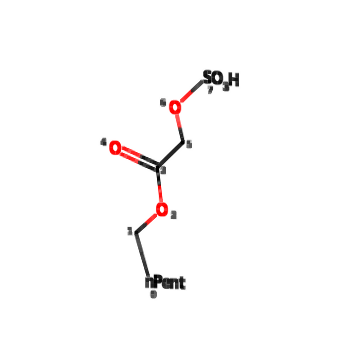 CCCCCCOC(=O)COS(=O)(=O)O